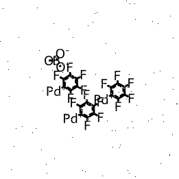 Fc1c(F)c(F)[c]([Pd+])c(F)c1F.Fc1c(F)c(F)[c]([Pd+])c(F)c1F.Fc1c(F)c(F)[c]([Pd+])c(F)c1F.[O-]B([O-])[O-]